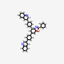 c1ccc(-c2nc3c(-c4ccc(-c5cnc6ccccc6c5)cc4)cc(-c4ccc(-c5cnc6ccccc6c5)cc4)cc3o2)cc1